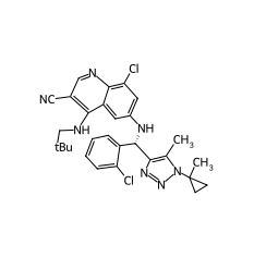 Cc1c([C@@H](Nc2cc(Cl)c3ncc(C#N)c(NCC(C)(C)C)c3c2)c2ccccc2Cl)nnn1C1(C)CC1